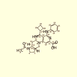 CC(=O)N1CC[C@@H]2CN(c3cc(C(=O)O)nc(Nc4ccccc4)c3C(=N)C3CCC3)CC[C@@H]21